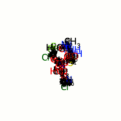 CCOc1cc(Oc2ccc(C(F)(F)F)cc2Cl)ccc1[N+](=O)[O-].COc1nc(C)nc(NC(=O)NS(=O)(=O)c2ccsc2C(=O)O)n1.O=C(O)COc1ccc(Cl)c2cccnc12